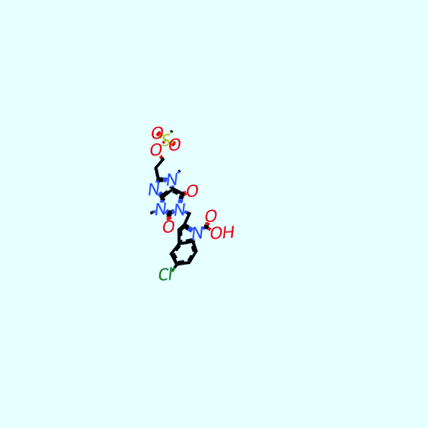 Cn1c(CCOS(C)(=O)=O)nc2c1c(=O)n(Cc1cc3cc(Cl)ccc3n1C(=O)O)c(=O)n2C